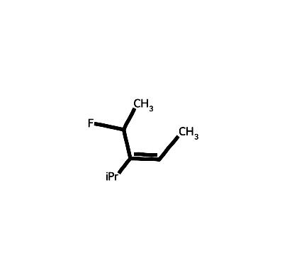 CC=C(C(C)C)C(C)F